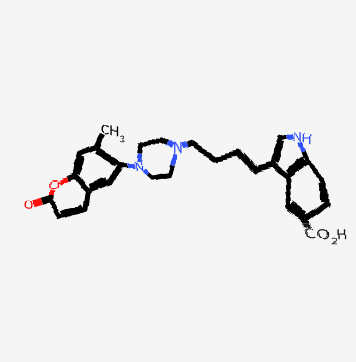 Cc1cc2oc(=O)ccc2cc1N1CCN(CCCCc2c[nH]c3ccc(C(=O)O)cc23)CC1